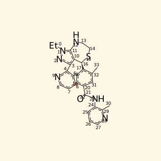 CCn1nc(-c2ccccn2)c2c1NCCS[C@H]2c1ccc(C(=O)Nc2cccnc2C)cc1C